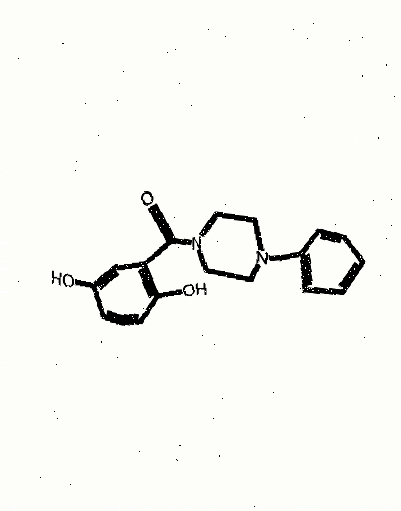 O=C(c1cc(O)ccc1O)N1CCN(c2ccccc2)CC1